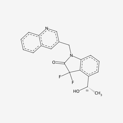 C[C@H](O)c1cccc2c1C(F)(F)C(=O)N2Cc1cnc2ccccc2c1